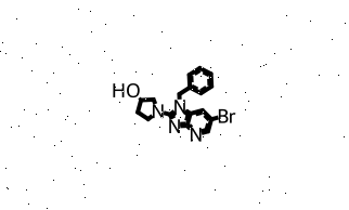 O[C@@H]1CCN(c2nc3ncc(Br)cc3n2Cc2ccccc2)C1